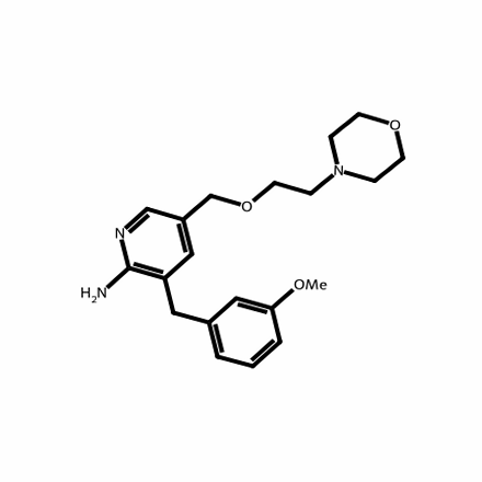 COc1cccc(Cc2cc(COCCN3CCOCC3)cnc2N)c1